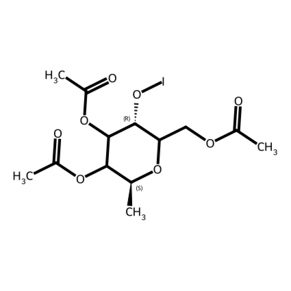 CC(=O)OCC1O[C@@H](C)C(OC(C)=O)C(OC(C)=O)[C@@H]1OI